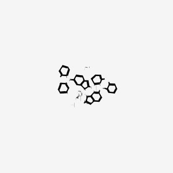 CC1=Cc2ccc(N3c4ccccc4Sc4ccccc43)cc2[C@@H]1[Zr+2]([C@H]1C(C)=Cc2ccc(N3c4ccccc4Sc4ccccc43)cc21)=[Si](C)C.[Cl-].[Cl-]